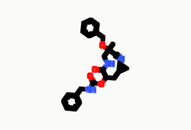 CC(C#N)(CNC(=O)C(CC1CC1)OC(=O)NCc1ccccc1)OCc1ccccc1